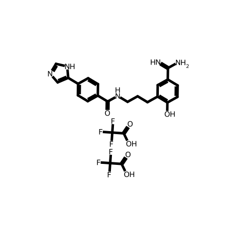 N=C(N)c1ccc(O)c(CCCNC(=O)c2ccc(-c3cnc[nH]3)cc2)c1.O=C(O)C(F)(F)F.O=C(O)C(F)(F)F